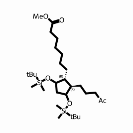 COC(=O)CCCCCC[C@H]1C(O[Si](C)(C)C(C)(C)C)CC(O[Si](C)(C)C(C)(C)C)[C@@H]1CCCC(C)=O